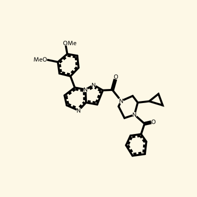 COc1ccc(-c2ccnc3cc(C(=O)N4CCN(C(=O)c5ccccc5)C(C5CC5)C4)nn23)cc1OC